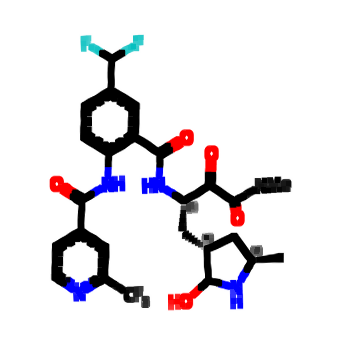 CNC(=O)C(=O)[C@H](C[C@@H]1C[C@@H](C)NC1O)NC(=O)c1cc(C(F)F)ccc1NC(=O)c1ccnc(C(F)(F)F)c1